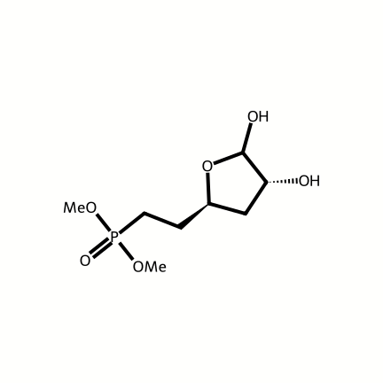 COP(=O)(CC[C@@H]1C[C@@H](O)C(O)O1)OC